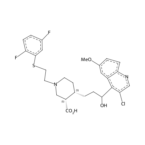 COc1ccc2ncc(Cl)c(C(O)CC[C@H]3CCN(CCSc4cc(F)ccc4F)C[C@H]3C(=O)O)c2c1